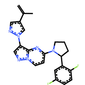 C=C(C)c1cnn(-c2cnn3ccc(N4CCCC4c4cc(F)ccc4F)nc23)c1